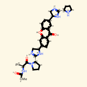 COC(=O)N[C@H](C(=O)N1CCC[C@H]1C1=NCC(c2ccc3c(=O)c4cc(C5CN=C([C@@H]6CCCN6)N5)ccc4oc3c2)N1)C(C)C